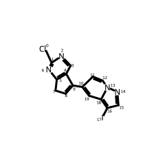 Clc1ncc2c(n1)CC=C2c1ccn2ncc(I)c2c1